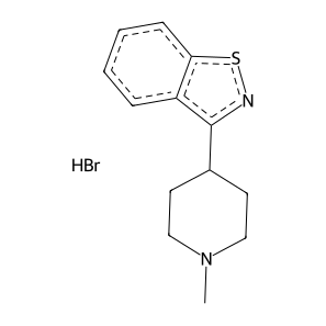 Br.CN1CCC(c2nsc3ccccc23)CC1